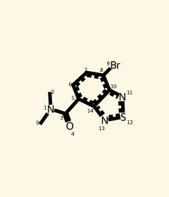 CN(C)C(=O)c1ccc(Br)c2nsnc12